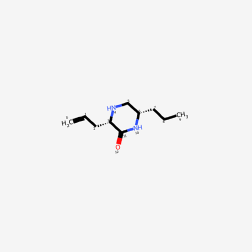 C=CC[C@@H]1NC[C@H](CCC)NC1=O